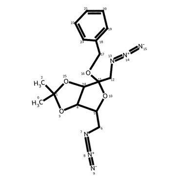 CC1(C)OC2C(CN=[N+]=[N-])OC(CN=[N+]=[N-])(OCc3ccccc3)C2O1